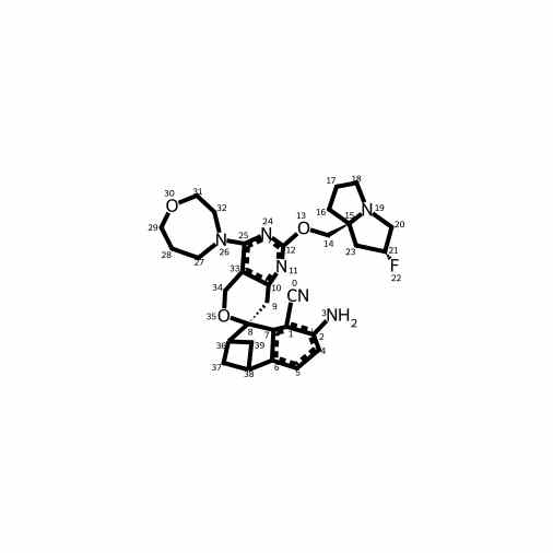 N#Cc1c(N)ccc2c1[C@@]1(Cc3nc(OC[C@@]45CCCN4C[C@H](F)C5)nc(N4CCCOCC4)c3CO1)C1CC2C1